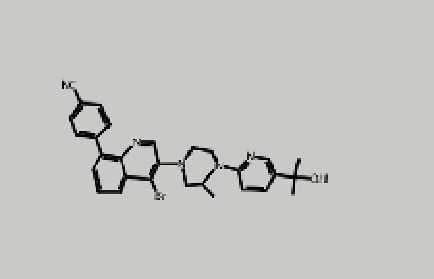 CC1CN(c2cnc3c(-c4ccc(C#N)cc4)cccc3c2Br)CCN1c1ccc(C(C)(C)O)cn1